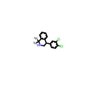 [2H]C1([2H])NCC(c2ccc(Cl)c(Cl)c2)c2ccccc21